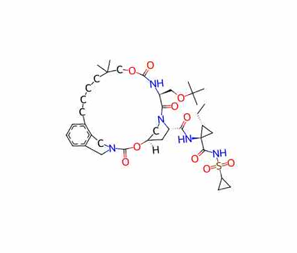 CC[C@@H]1C[C@]1(NC(=O)[C@@H]1C[C@@H]2CN1C(=O)[C@H](COC(C)(C)C)NC(=O)OCC(C)(C)CCCCc1cccc3c1CN(C3)C(=O)O2)C(=O)NS(=O)(=O)C1CC1